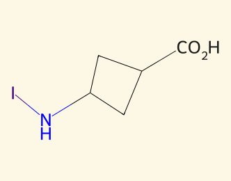 O=C(O)C1CC(NI)C1